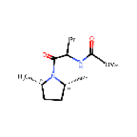 COC(=O)NC(C(=O)N1[C@@H](C)CC[C@H]1C(C)C)C(C)C